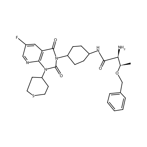 C[C@@H](OCc1ccccc1)[C@H](N)C(=O)NC1CCC(n2c(=O)c3cc(F)cnc3n(C3CCSCC3)c2=O)CC1